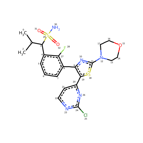 CC(C)C(c1cccc(-c2nc(N3CCOCC3)sc2-c2ccnc(Cl)n2)c1F)S(N)(=O)=O